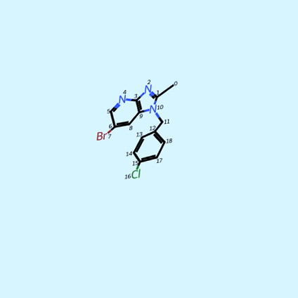 Cc1nc2ncc(Br)cc2n1Cc1ccc(Cl)cc1